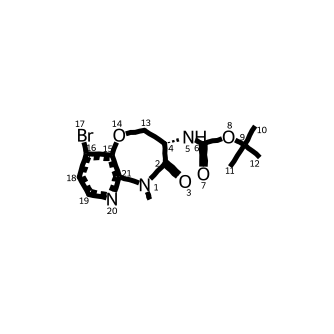 CN1C(=O)[C@@H](NC(=O)OC(C)(C)C)COc2c(Br)ccnc21